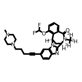 [2H]C([2H])([2H])N1C(=O)c2cccc(OC(F)F)c2[C@H]2C[C@@H]1c1nc3ccc(C#CCCCN4CCN(C)CC4)cc3n12